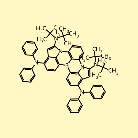 CC(C)(C)N(c1cc2c(N(c3ccccc3)c3ccccc3)ccc3c2n1-c1cccc2c1B3c1ccc(N(c3ccccc3)c3ccccc3)c3cc(N(C(C)(C)C)C(C)(C)C)n-2c13)C(C)(C)C